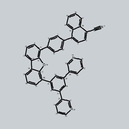 N#Cc1ccc(-c2ccc(-c3cccc4c3oc3c(-c5cc(-c6cccnc6)cc(-c6cccnc6)c5)cccc34)cc2)c2ccccc12